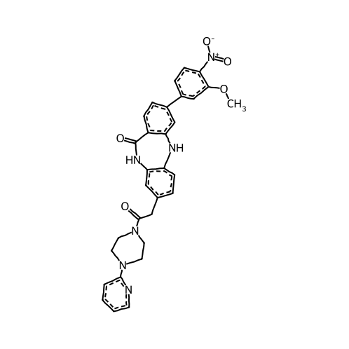 COc1cc(-c2ccc3c(c2)Nc2ccc(CC(=O)N4CCN(c5ccccn5)CC4)cc2NC3=O)ccc1[N+](=O)[O-]